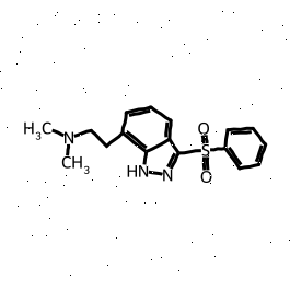 CN(C)CCc1cccc2c(S(=O)(=O)c3ccccc3)n[nH]c12